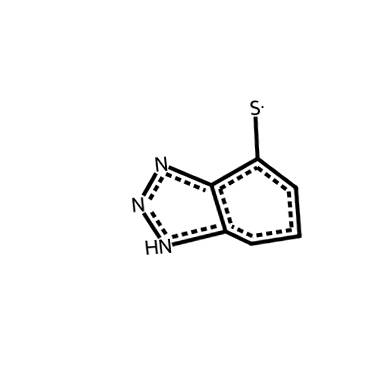 [S]c1cccc2[nH]nnc12